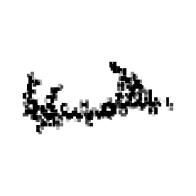 CCCOc1nc(NC(=O)CCCNC(=O)OCc2ccc(NC(=O)[C@H](CCCNC(N)=O)NC(=O)[C@@H](NC(=O)CN=[N+]=[N-])C(C)C)cc2)c2[nH]c(=O)n(Cc3ccc(OCCN(C)C)nc3)c2n1